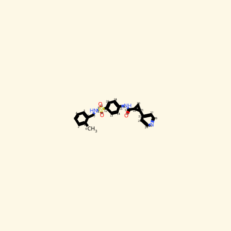 Cc1ccccc1CNS(=O)(=O)c1ccc(NC(=O)C2CC2c2ccncc2)cc1